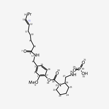 COc1cc(CNC(=O)CCCC/C=C/C(C)C)ccc1OC(=O)N1CCCCC1CNO[PH](=O)O